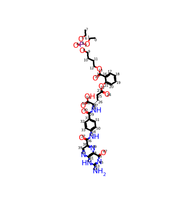 CCOP(=O)(OCC)OCCCCOC(=O)c1ccccc1OC(=O)CC[C@H](NC(=O)c1ccc(NC(=O)c2cnc3[nH]c(N)nc(=O)c3n2)cc1)C(=O)O